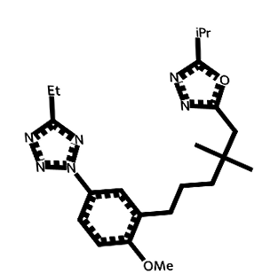 CCc1nnn(-c2ccc(OC)c(CCCC(C)(C)Cc3nnc(C(C)C)o3)c2)n1